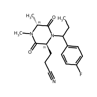 CCC(c1ccc(F)cc1)N1C(=O)[C@@H](C)N(C)C(=O)[C@@H]1CCC#N